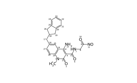 Cn1c(=O)c(C(=O)NCC(=O)N=O)c(N)c2cc(CC3Cc4ccccc4C3)ccc21